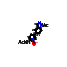 CC(=O)Nc1ccc(-c2ccc3c(cnn3C(C)=O)c2)c[n+]1[O-]